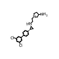 NC1CCN(CCN[C@@H]2C[C@H]2c2ccc(-c3cc(Cl)cc(Cl)c3)cc2)C1